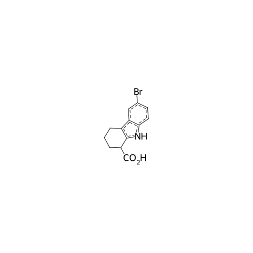 O=C(O)C1CCCc2c1[nH]c1ccc(Br)cc21